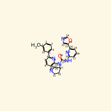 Cc1cccc(-c2ccc3c(n2)N(C(=O)Nc2cccc(-c4cnco4)n2)C2CCN3CC2)c1